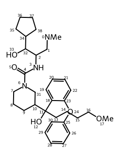 CNCC(NC(=O)N1CCCC(C(O)(CCCCOC)c2ccccc2Oc2ccccc2)C1)C(O)C1CCCC1